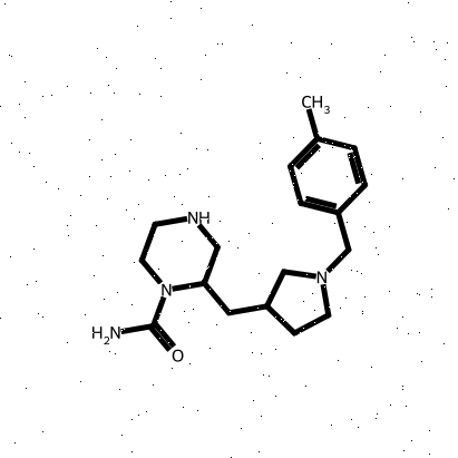 Cc1ccc(CN2CCC(CC3CNCCN3C(N)=O)C2)cc1